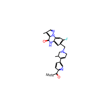 CNC(=O)c1ccc(C2=CCN(Cc3cc4[nH]c(=O)c5c(C)cnn5c4cc3F)CC2C)cn1